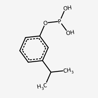 CC(C)c1cccc(OP(O)O)c1